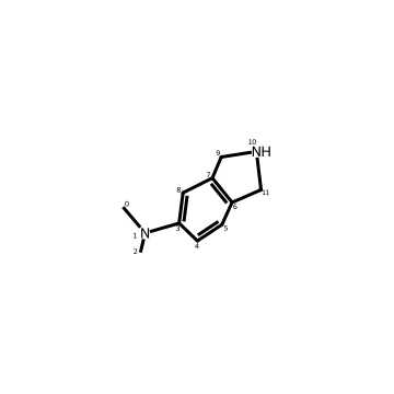 CN(C)c1ccc2c(c1)CNC2